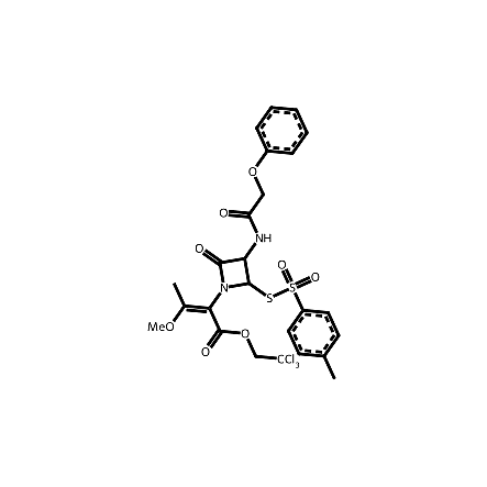 COC(C)=C(C(=O)OCC(Cl)(Cl)Cl)N1C(=O)C(NC(=O)COc2ccccc2)C1SS(=O)(=O)c1ccc(C)cc1